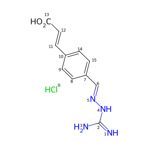 Cl.N=C(N)NN=Cc1ccc(C=CC(=O)O)cc1